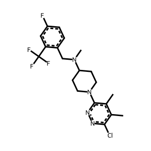 Cc1c(Cl)nnc(N2CCC(N(C)Cc3ccc(F)cc3C(F)(F)F)CC2)c1C